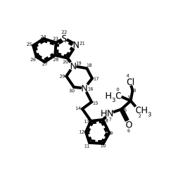 CC(C)(CCl)C(=O)Nc1ccccc1CCN1CCN(c2nsc3ccccc23)CC1